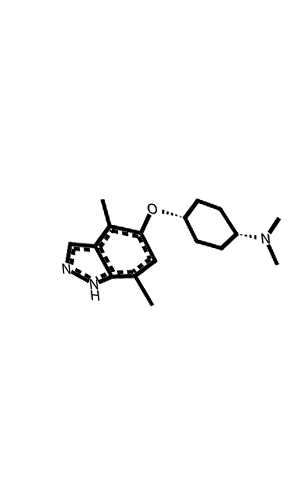 Cc1c(O[C@H]2CC[C@@H](N(C)C)CC2)cc(C)c2[nH]ncc12